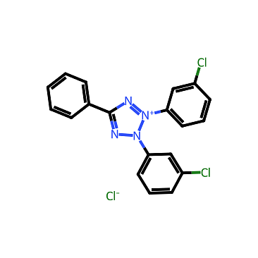 Clc1cccc(-n2nc(-c3ccccc3)n[n+]2-c2cccc(Cl)c2)c1.[Cl-]